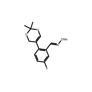 CO/N=C/c1cc(F)ccc1C1=COC(C)(C)OC1